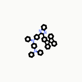 c1ccc(N(c2ccccc2)c2ccc(N(c3ccccc3)c3ccc(-c4nc5ccccc5nc4-c4ccc5c(c4)C4(c6ccccc6-c6ccccc64)c4ccccc4-5)cc3)cc2)cc1